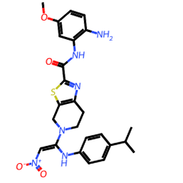 COc1ccc(N)c(NC(=O)c2nc3c(s2)CN(C(=C[N+](=O)[O-])Nc2ccc(C(C)C)cc2)CC3)c1